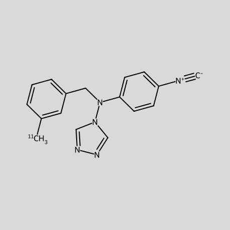 [C-]#[N+]c1ccc(N(Cc2cccc([11CH3])c2)n2cnnc2)cc1